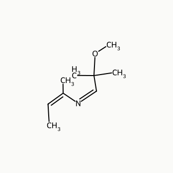 C/C=C(C)\N=C/C(C)(C)OC